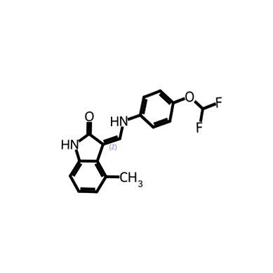 Cc1cccc2c1/C(=C/Nc1ccc(OC(F)F)cc1)C(=O)N2